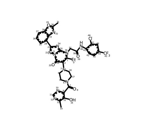 CCc1c(N2CCN(C(=O)c3ncnc(C)c3O)CC2)c(=O)n2nc(-c3cccc4oc(C)nc34)nc2n1CC(=O)Nc1ccc(C(F)(F)F)cc1Cl